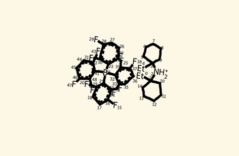 CCC1([NH2+]C2(CC)CCCCC2)CCCCC1.Fc1ccc(F)c([B-](c2c(F)ccc(F)c2F)(c2c(F)ccc(F)c2F)c2c(F)ccc(F)c2F)c1F